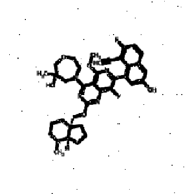 C#Cc1c(F)ccc2cc(O)cc(-c3nc(OC)c4c(N5CCOCC(C)(O)C5)nc(OC[C@]56CCC[C@H]5N(C)CCC6)nc4c3F)c12